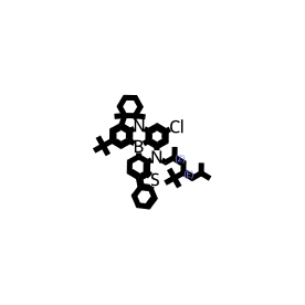 C/C(=C/C(=C\C(C)C)C(C)(C)C)CN1C2=c3sc4c(c3=CCC2B2c3cc(C(C)(C)C)cc5c3N(c3cc(Cl)cc1c32)C1(C)CCCCC51C)CCC=C4